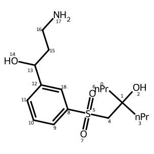 CCCC(O)(CCC)CS(=O)(=O)c1cccc(C(O)CCN)c1